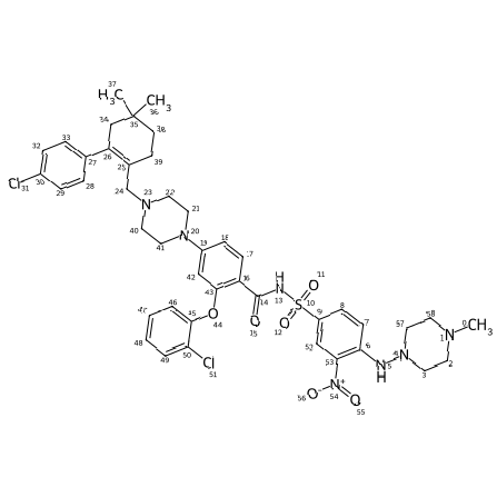 CN1CCN(Nc2ccc(S(=O)(=O)NC(=O)c3ccc(N4CCN(CC5=C(c6ccc(Cl)cc6)CC(C)(C)CC5)CC4)cc3Oc3ccccc3Cl)cc2[N+](=O)[O-])CC1